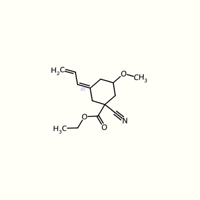 C=C/C=C1\CC(OC)CC(C#N)(C(=O)OCC)C1